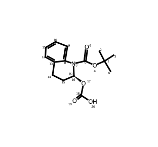 CC(C)(C)OC(=O)N1c2ccccc2CC[C@@H]1OC(=O)O